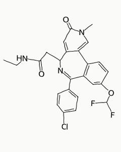 CCNC(=O)CC1N=C(c2ccc(Cl)cc2)c2cc(OC(F)F)ccc2-c2cn(C)c(=O)cc21